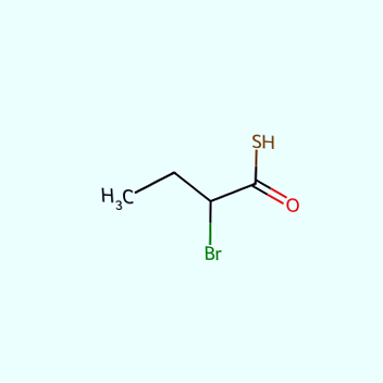 CCC(Br)C(=O)S